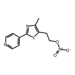 Cc1nc(-c2ccncc2)sc1CCO[N+](=O)[O-]